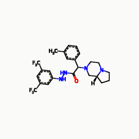 Cc1cccc(C(C(=O)NNc2cc(C(F)(F)F)cc(C(F)(F)F)c2)N2CCN3CCC[C@@H]3C2)c1